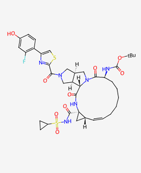 CC(C)(C)OC(=O)N[C@H]1CCCCC/C=C\[C@@H]2C[C@@]2(C(=O)NS(=O)(=O)C2CC2)NC(=O)[C@@H]2[C@H]3CN(C(=O)c4nc(-c5ccc(O)cc5F)cs4)C[C@H]3CN2C1=O